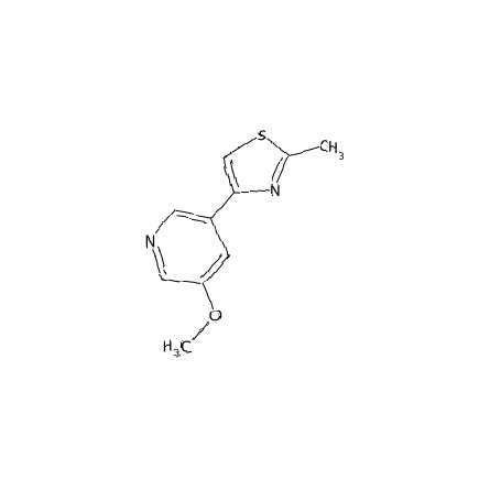 COc1cncc(-c2csc(C)n2)c1